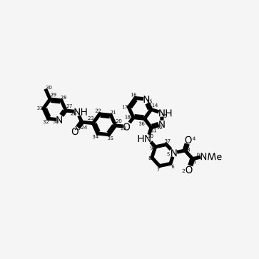 CNC(=O)C(=O)N1CCCC(Nc2n[nH]c3nccc(Oc4ccc(C(=O)Nc5cc(C)ccn5)cc4)c23)C1